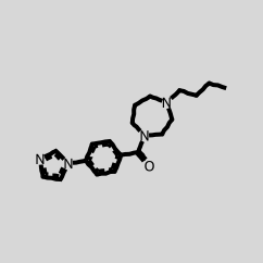 CCCCN1CCCN(C(=O)c2ccc(-n3ccnc3)cc2)CC1